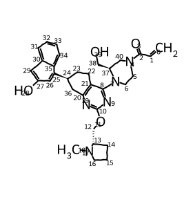 C=CC(=O)N1CCN(c2nc(OC[C@@H]3CCCN3C)nc3c2CC[C@H](c2cc(O)cc4ccccc24)C3)[C@@H](CO)C1